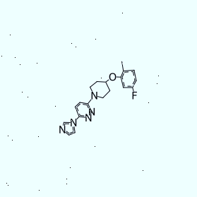 Cc1ccc(F)cc1OC1CCN(c2ccc(-n3ccnc3)nn2)CC1